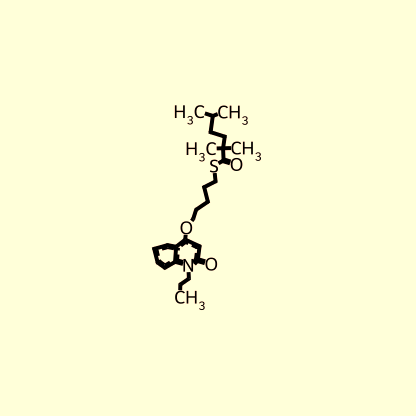 CCCn1c(=O)cc(OCCCCCSC(=O)C(C)(C)CCC(C)C)c2ccccc21